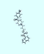 O=C(Nc1cccc2ccsc12)OCCCN1CCC(C(=O)c2ccc(Br)cc2)CC1